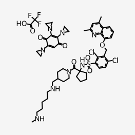 CNCCCCCNCC1CCN(C(=O)C2(NS(=O)(=O)c3ccc(Cl)c(COc4cccc5c(C)cc(C)nc45)c3Cl)CCCC2)CC1.O=C(O)C(F)(F)F.O=C1C=C(N2CC2)C(=O)C(N2CC2)=C1N1CC1